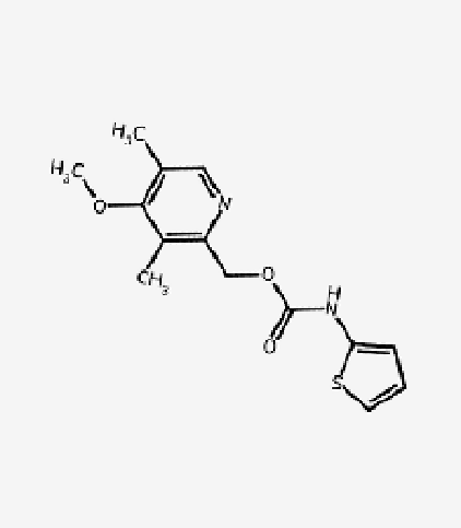 COc1c(C)cnc(COC(=O)Nc2cccs2)c1C